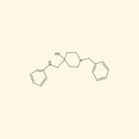 OC1(CNc2ccccc2)CCN(Cc2ccccc2)CC1